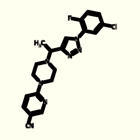 CC(c1cn(-c2cc(Cl)ccc2F)nn1)N1CCN(c2ccc(C#N)cn2)CC1